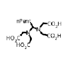 CCCCCC(N(CC(=O)O)CC(=O)O)N(CC(=O)O)CC(=O)O